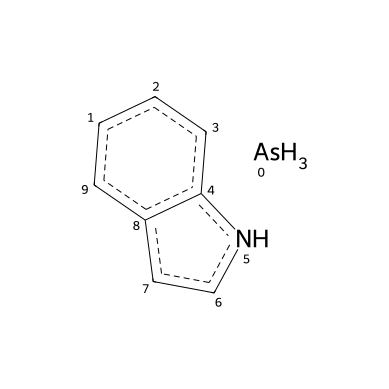 [AsH3].c1ccc2[nH]ccc2c1